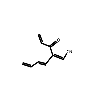 C=CC=CC(=CC#N)C(=O)C=C